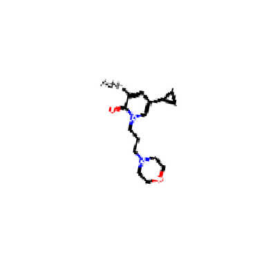 CC(=O)Nc1cc(C2CC2)cn(CCCN2CCOCC2)c1=O